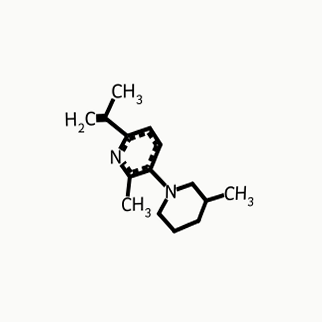 C=C(C)c1ccc(N2CCCC(C)C2)c(C)n1